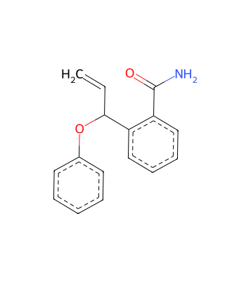 C=CC(Oc1ccccc1)c1ccccc1C(N)=O